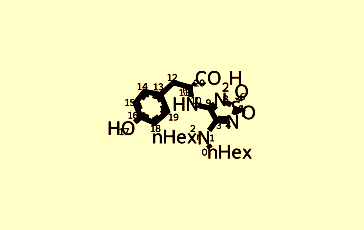 CCCCCCN(CCCCCC)C1=NS(=O)(=O)N=C1N[C@@H](Cc1ccc(O)cc1)C(=O)O